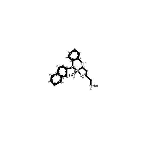 CNCCCC1Oc2ccccc2N(c2ccc3ccccc3c2)S1(O)O